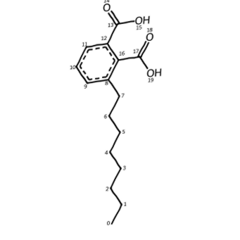 CCCCCCCCc1cccc(C(=O)O)c1C(=O)O